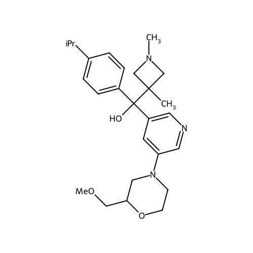 COCC1CN(c2cncc(C(O)(c3ccc(C(C)C)cc3)C3(C)CN(C)C3)c2)CCO1